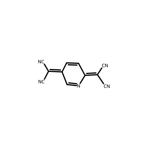 N#CC(C#N)=c1ccc(=C(C#N)C#N)nc1